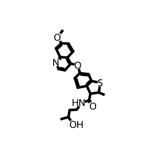 COc1ccc2c(Oc3ccc4c(c3)SC(C)C4C(=O)NCCC(C)O)ccnc2c1